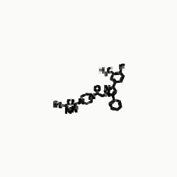 CCc1nnc(N2CCN(C(=O)Cn3nc(-c4ccc(F)c(C)c4)cc3-c3ccccc3)CC2)o1